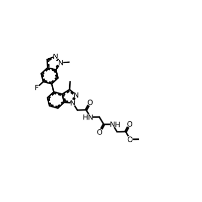 COC(=O)CNC(=O)CNC(=O)Cn1nc(C)c2c(-c3cc4c(cnn4C)cc3F)cccc21